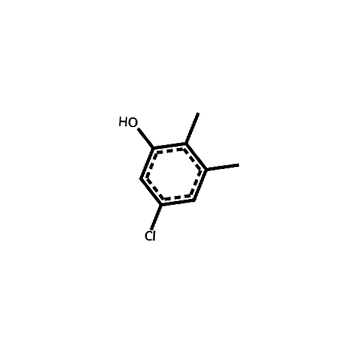 Cc1cc(Cl)cc(O)c1C